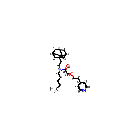 CCCCCN(CCC12CC3CC(CC(C3)C1)C2)C(=O)COCCc1ccncc1